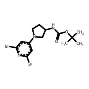 CC(C)(C)OC(=O)NC1CCN(c2cc(Br)nc(Br)c2)C1